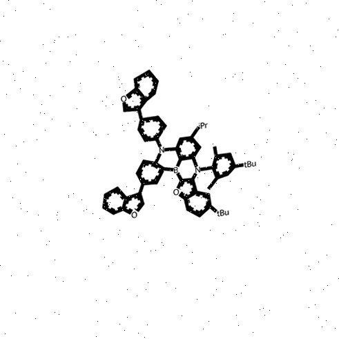 Cc1cc(C(C)(C)C)cc(C)c1N1c2cc(C(C)C)cc3c2B(c2cc(-c4coc5ccccc45)ccc2N3c2ccc(-c3coc4ccccc34)cc2)c2oc3ccc(C(C)(C)C)cc3c21